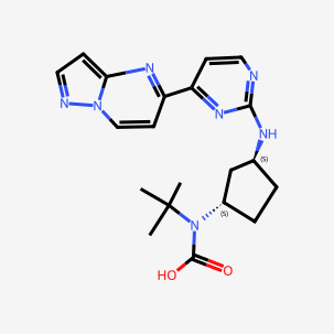 CC(C)(C)N(C(=O)O)[C@H]1CC[C@H](Nc2nccc(-c3ccn4nccc4n3)n2)C1